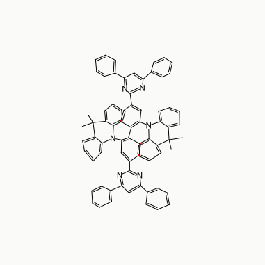 CC1(C)c2ccccc2N(c2cc(-c3nc(-c4ccccc4)cc(-c4ccccc4)n3)ccc2-c2ccc(-c3nc(-c4ccccc4)cc(-c4ccccc4)n3)cc2N2c3ccccc3C(C)(C)c3ccccc32)c2ccccc21